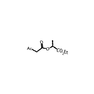 CCOC(=O)C(C)OC(=O)CC(C)=O